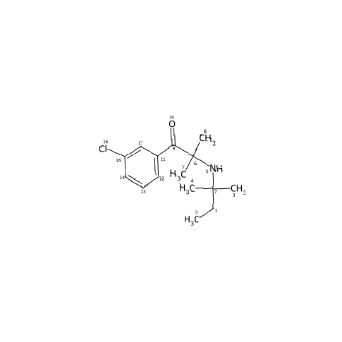 CCC(C)(C)NC(C)(C)C(=O)c1cccc(Cl)c1